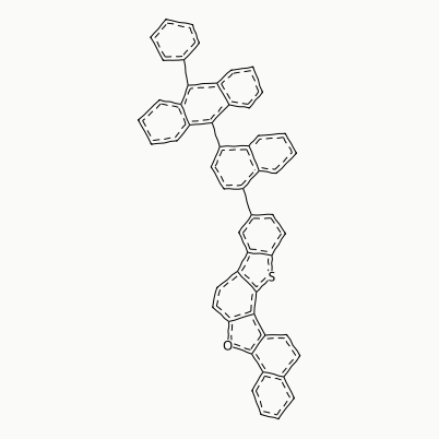 c1ccc(-c2c3ccccc3c(-c3ccc(-c4ccc5sc6c(ccc7oc8c9ccccc9ccc8c76)c5c4)c4ccccc34)c3ccccc23)cc1